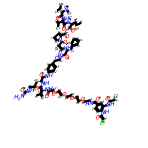 CC[C@H](C)[C@@H]([C@@H](CC(=O)C1CCCN1[C@H](OC)[C@@H](C)C(=O)N[C@H](Cc1ccccc1)C(=O)NCCc1ccc(NC(=O)[C@@H](CCCNC(N)=O)NC(=O)[C@@H](NC(=O)COCCOCCOCCOCCNC(=O)c2ccc(NC(=O)CCl)c(NC(=O)CCl)c2)C(C)C)cc1)OC)N(C)C(=O)[C@H](NC(=O)[C@H](C(C)C)N(C)C)C(C)C